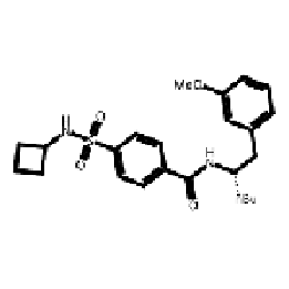 CCCC[C@@H](Cc1cccc(OC)c1)NC(=O)c1ccc(S(=O)(=O)NC2CCC2)cc1